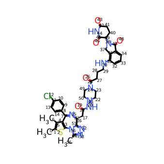 Cc1sc2c(c1C)C(c1ccc(Cl)cc1)=N[C@@H](CC(=O)NN1CCN(C(=O)CCCNc3cccc4c3CN(C3CCC(=O)NC3=O)C4=O)CC1)c1nnc(C)n1-2